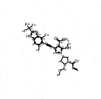 C=CC(=O)N1C[C@@H](n2nc(C#Cc3c(F)cc4[nH]c(C(F)(F)F)nc4c3F)c(C(N)=O)c2NC)C[C@@H]1COC